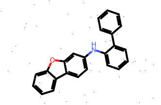 c1ccc(-c2ccccc2Nc2ccc3c(c2)oc2ccccc23)cc1